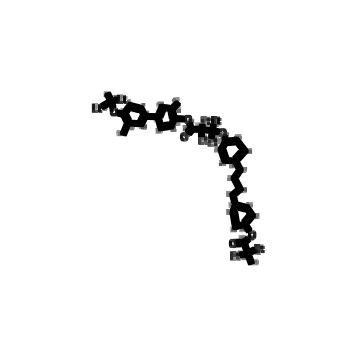 CCC(C)(CC)Oc1ccc(-c2ccc(OC(=O)C(CC)(CC)C(CC)(CC)Oc3ccc(CCCCc4ccc(OC(=O)C(C)(CC)CC)cc4)cc3)c(C)c2)cc1C